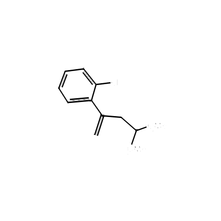 C=C(CC(OC)OC)c1ccccc1Cl